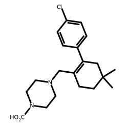 CC1(C)CCC(CN2CCN(C(=O)O)CC2)=C(c2ccc(Cl)cc2)C1